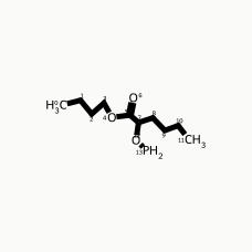 CCCCOC(=O)C(CCCC)OP